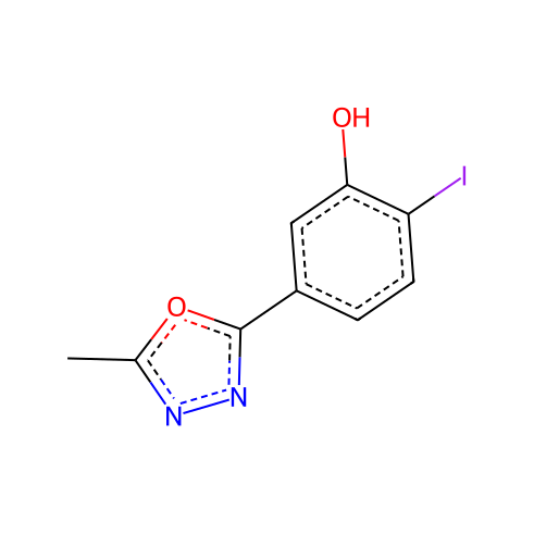 Cc1nnc(-c2ccc(I)c(O)c2)o1